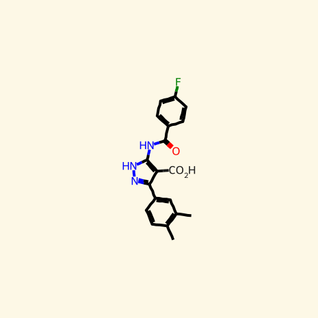 Cc1ccc(-c2n[nH]c(NC(=O)c3ccc(F)cc3)c2C(=O)O)cc1C